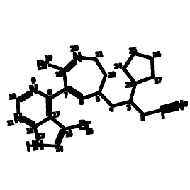 N#CCC(CC1C=C(c2ncnc3[nH]cc(Br)c23)C(Br)=NCC1)C1CCCC1